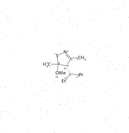 CCC(C(C)C)[C@H]1C(C)=NSC1(C)OC